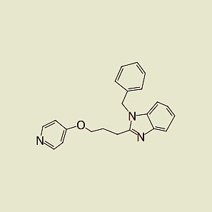 c1ccc(Cn2c(CCCOc3ccncc3)nc3ccccc32)cc1